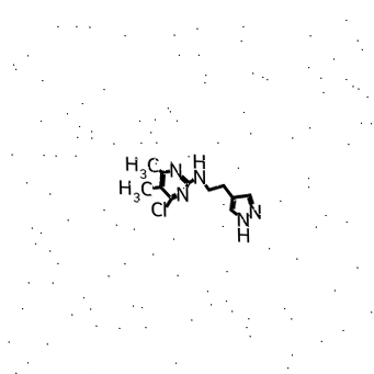 Cc1nc(NCCc2cn[nH]c2)nc(Cl)c1C